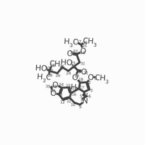 COC1=C[C@]23CCCN2CCc2cc4c(cc2[C@@H]3C1OC(=O)[C@@](O)(CCCC(C)(C)O)CC(=O)OC(C)C)OCO4